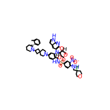 Cc1ccccc1[C@H]1CCCCN1C1CC2(CCN(c3ccc(C(=O)NS(=O)(=O)c4ccc(NCC5(F)CCOCC5)c([N+](=O)[O-])c4)c(N4c5cc6cc[nH]c6nc5O[C@H]5COCC[C@@H]54)c3)CC2)C1